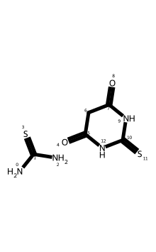 NC(N)=S.O=C1CC(=O)NC(=S)N1